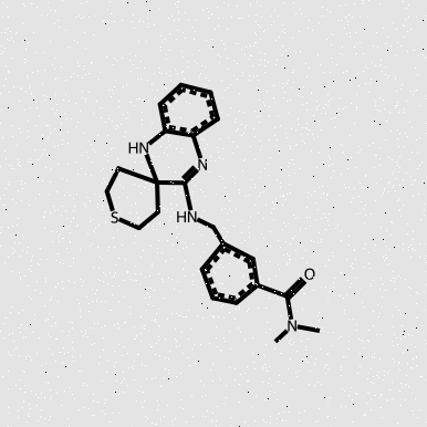 CN(C)C(=O)c1cccc(CNC2=Nc3ccccc3NC23CCSCC3)c1